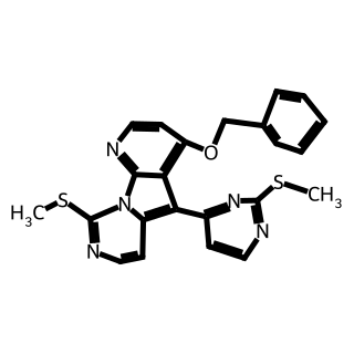 CSc1nccc(-c2c3c(OCc4ccccc4)ccnc3n3c(SC)nccc23)n1